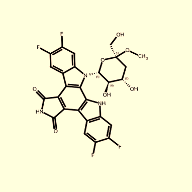 CO[C@@]1(CO)C[C@H](O)[C@@H](O)[C@H](n2c3cc(F)c(F)cc3c3c4c(c5c6cc(F)c(F)cc6[nH]c5c32)C(=O)NC4=O)O1